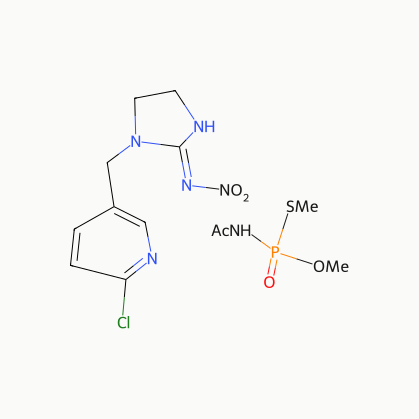 COP(=O)(NC(C)=O)SC.O=[N+]([O-])/N=C1\NCCN1Cc1ccc(Cl)nc1